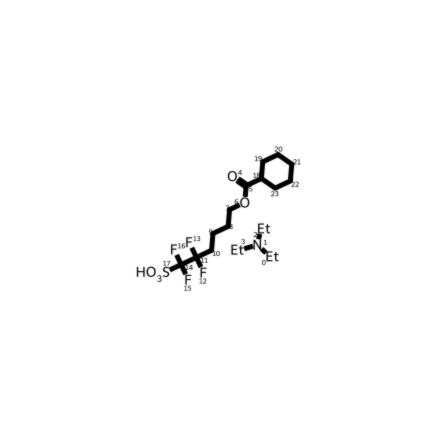 CCN(CC)CC.O=C(OCCCCC(F)(F)C(F)(F)S(=O)(=O)O)C1CCCCC1